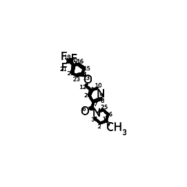 CC1CCN(C(=O)c2cncc(COc3ccc(C(F)(F)F)cc3)c2)CC1